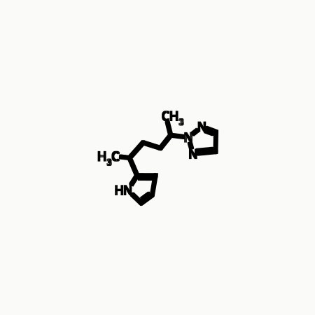 CC(CCC(C)n1nccn1)c1ccc[nH]1